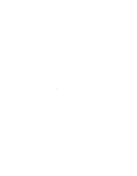 CC(C)C1(C)Oc2ccccc2O1